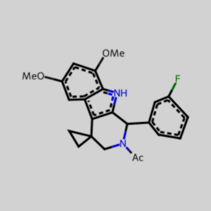 COc1cc(OC)c2[nH]c3c(c2c1)C1(CC1)CN(C(C)=O)C3c1cccc(F)c1